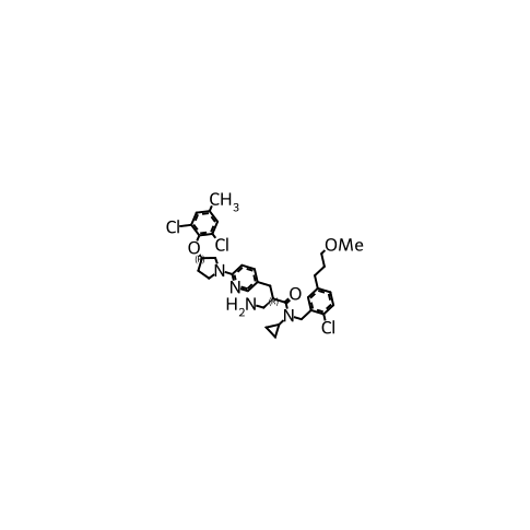 COCCCc1ccc(Cl)c(CN(C(=O)[C@@H](CN)Cc2ccc(N3CC[C@@H](Oc4c(Cl)cc(C)cc4Cl)C3)nc2)C2CC2)c1